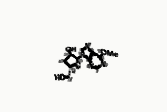 COc1ncnc2c1ncn2C1O[C@H](CO)CC1O